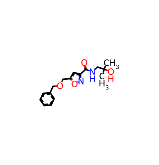 CC(C)(O)CNC(=O)c1cc(COCc2ccccc2)on1